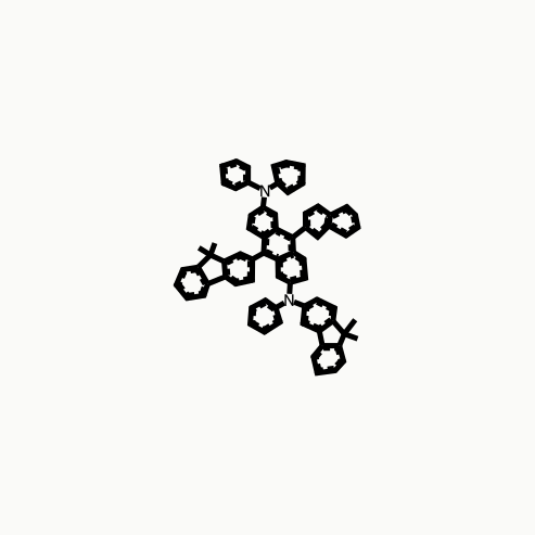 CC1(C)c2ccccc2-c2cc(N(c3ccccc3)c3ccc4c(-c5ccc6ccccc6c5)c5cc(N(c6ccccc6)c6ccccc6)ccc5c(-c5ccc6c(c5)C(C)(C)c5ccccc5-6)c4c3)ccc21